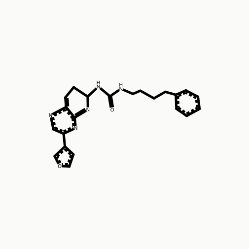 O=C(NCCCCc1ccccc1)NC1CC=c2ncc(-c3ccoc3)nc2=N1